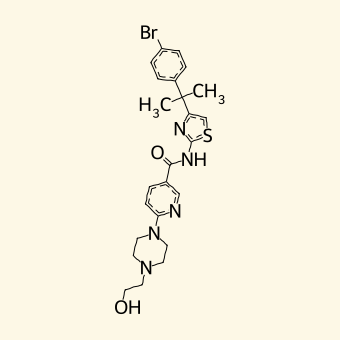 CC(C)(c1ccc(Br)cc1)c1csc(NC(=O)c2ccc(N3CCN(CCO)CC3)nc2)n1